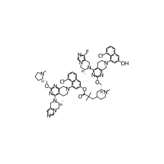 C[C@@H]1Cn2cncc2CN1c1nc(OC[C@@H]2CCCN2C)nc2c1CCN(c1cc(OC(=O)C(C)(C)CC3CCN(C)[C@@H](COc4nc5c(c(N6Cc7c(F)ncn7C[C@H]6C)n4)CCN(c4cc(O)cc6cccc(Cl)c46)C5)C3)cc3cccc(Cl)c13)C2